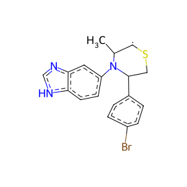 CC1[CH]SCC(c2ccc(Br)cc2)N1c1ccc2[nH]cnc2c1